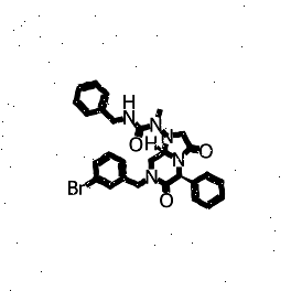 CN(C(=O)NCc1ccccc1)N1CC(=O)N2[C@@H](c3ccccc3)C(=O)N(Cc3cccc(Br)c3)C[C@@H]21